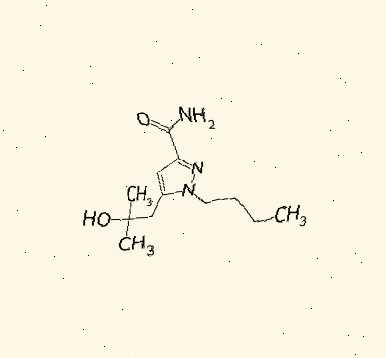 CCCCn1nc(C(N)=O)cc1CC(C)(C)O